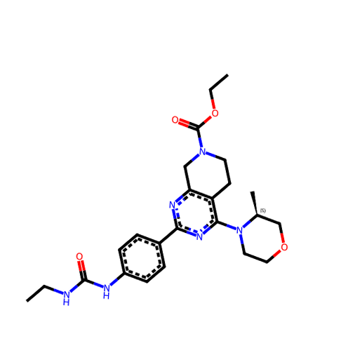 CCNC(=O)Nc1ccc(-c2nc3c(c(N4CCOC[C@@H]4C)n2)CCN(C(=O)OCC)C3)cc1